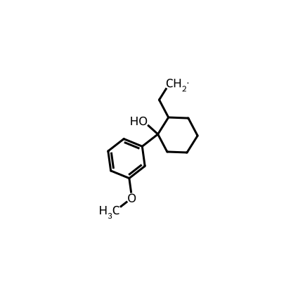 [CH2]CC1CCCCC1(O)c1cccc(OC)c1